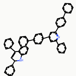 C1=C(c2ccccc2)c2c(ccc3c(-c4ccc(-c5cc(-c6ccccc6)nc(-c6ccc(-c7ccccc7)cc6)c5)cc4)cccc23)NC1c1ccccc1